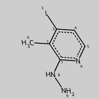 Cc1c(I)ccnc1NN